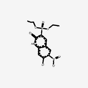 CCOP(=O)(OCC)c1cc2cc([N+](=O)[O-])c(Cl)cc2[nH]c1=O